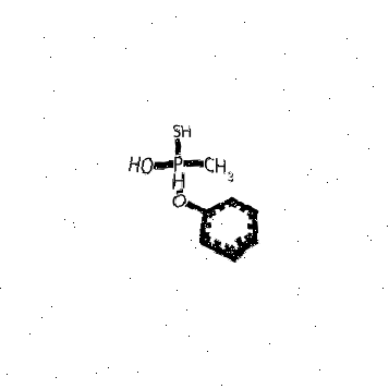 C[PH](O)(S)Oc1ccccc1